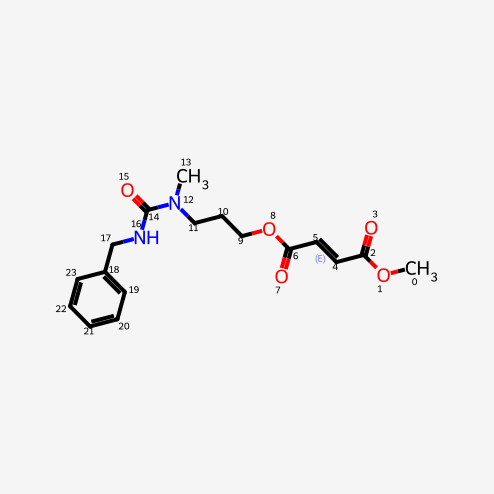 COC(=O)/C=C/C(=O)OCCCN(C)C(=O)NCc1ccccc1